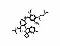 COc1cc(N(C)CCN(C)C)c(N)cc1Nc1ncc(C(=O)OC(C)C)c(N2CC3(CCC3)c3nc(C)ccc32)n1